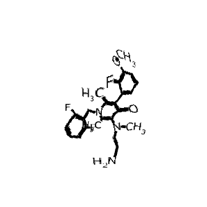 COc1cccc(-c2c(C)n(Cc3c(F)cccc3F)c(C)c(N(C)CCN)c2=O)c1F